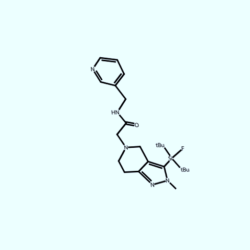 Cn1nc2c(c1[Si](F)(C(C)(C)C)C(C)(C)C)CN(CC(=O)NCc1cccnc1)CC2